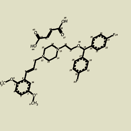 COc1ccc(OC)c(C=CCN2CCN(CCOC(c3ccc(F)cc3)c3ccc(F)cc3)CC2)c1.O=C(O)C=CC(=O)O